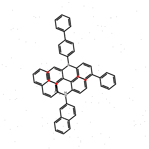 Cc1cccc(N(c2ccc(-c3ccccc3)cc2)c2ccc(-c3ccccc3)cc2)c1-c1ccccc1[SiH](c1ccc2ccccc2c1)c1ccc2ccccc2c1